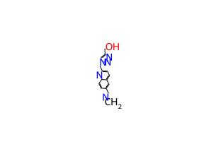 C=NCc1ccc2nc(Cn3cc(CO)nn3)ccc2c1